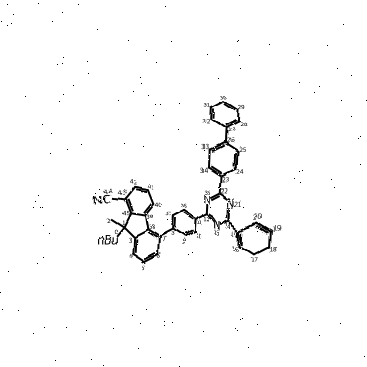 CCCCC1(C)c2cccc(-c3ccc(-c4nc(C5=CCCC=C5)nc(-c5ccc(-c6ccccc6)cc5)n4)cc3)c2-c2cccc(C#N)c21